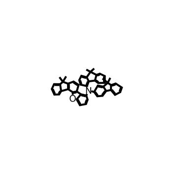 CC1(C)c2ccccc2-c2ccc(N(c3cccc4c3-c3ccccc3C4(C)C)c3cccc4oc5c6c(ccc5c34)C(C)(C)c3ccccc3-6)cc21